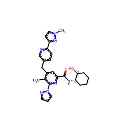 Cc1c(Cc2ccc(-c3ccn(C)n3)nc2)cc(C(=O)N[C@H]2CCCC[C@@H]2O)nc1-n1cccn1